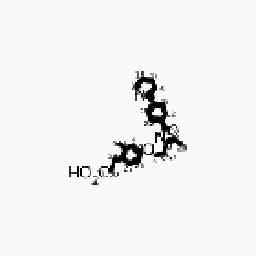 Cc1cc(OC[C@@H](C)c2nc(-c3ccc(-c4ccccn4)cc3)oc2C)ccc1CCC(=O)O